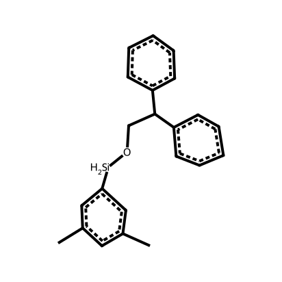 Cc1cc(C)cc([SiH2]OCC(c2ccccc2)c2ccccc2)c1